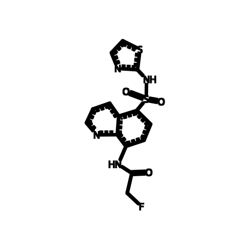 O=C(CF)Nc1ccc(S(=O)(=O)Nc2nccs2)c2cccnc12